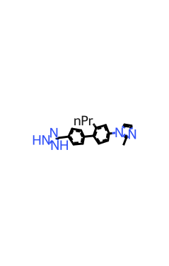 CCCc1cc(-n2ccnc2C)ccc1-c1ccc(-c2n[nH][nH]2)cc1